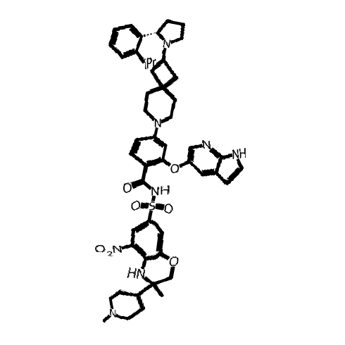 CC(C)c1ccccc1[C@@H]1CCCN1C1CC2(CCN(c3ccc(C(=O)NS(=O)(=O)c4cc5c(c([N+](=O)[O-])c4)NC(C)(C4CCN(C)CC4)CO5)c(Oc4cnc5[nH]ccc5c4)c3)CC2)C1